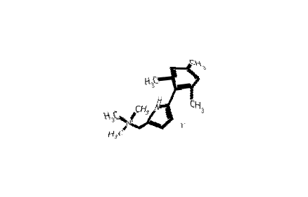 Cc1cc(C)c(-c2ccc(C[N+](C)(C)C)[nH]2)c(C)c1.[I-]